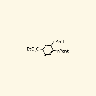 CCCCCC1=CSC(C(=O)OCC)CC1CCCCC